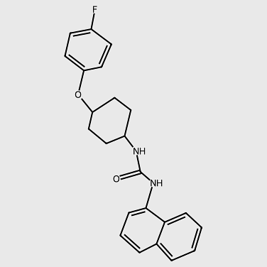 O=C(Nc1cccc2ccccc12)NC1CCC(Oc2ccc(F)cc2)CC1